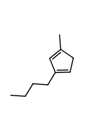 CCCCC1=CCC(C)=C1